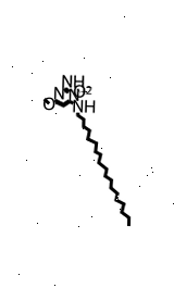 CCCCCCCCCCCCCCCCCCCNc1cc(OC)nc(N)[n+]1[O-]